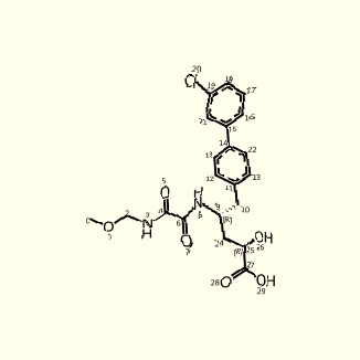 COCNC(=O)C(=O)N[C@H](Cc1ccc(-c2cccc(Cl)c2)cc1)C[C@@H](O)C(=O)O